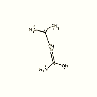 CC(N)O.NC(=O)O